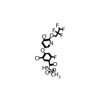 CS(=O)(=O)NC(=O)c1cc(Cl)c(Oc2cnc(OCC(F)(F)C(F)F)c(Cl)c2)cc1F